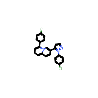 Clc1ccc(C2=CCC=C3C=CC(c4ccnn4-c4ccc(Cl)cc4)=CN32)cc1